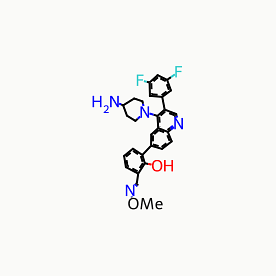 CON=Cc1cccc(-c2ccc3ncc(-c4cc(F)cc(F)c4)c(N4CCC(N)CC4)c3c2)c1O